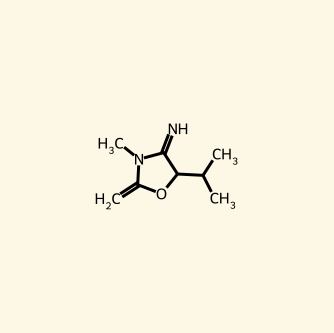 C=C1OC(C(C)C)C(=N)N1C